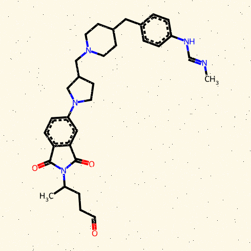 C/N=C/Nc1ccc(CC2CCN(CC3CCN(c4ccc5c(c4)C(=O)N(C(C)CCC=O)C5=O)C3)CC2)cc1